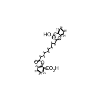 O=C(CCCCCCCCC(=O)Oc1ccccc1C(=O)O)Oc1ccccc1C(=O)O